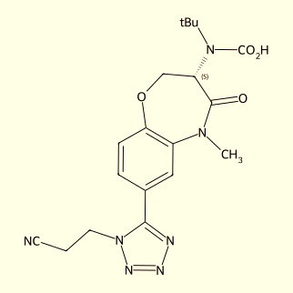 CN1C(=O)[C@@H](N(C(=O)O)C(C)(C)C)COc2ccc(-c3nnnn3CCC#N)cc21